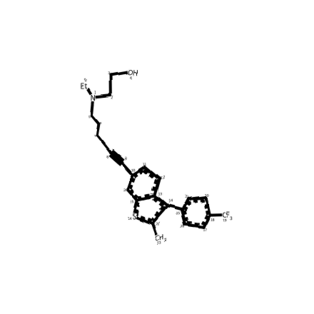 CCN(CCO)CCCC#Cc1ccc2c(-c3ccc(C(F)(F)F)cc3)c(C)sc2c1